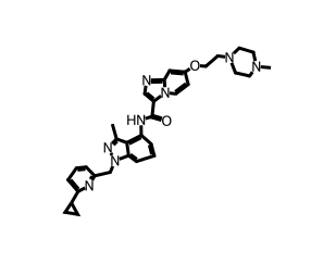 Cc1nn(Cc2cccc(C3CC3)n2)c2cccc(NC(=O)c3cnc4cc(OCCN5CCN(C)CC5)ccn34)c12